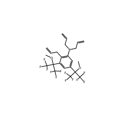 C=CCB(CC=C)c1cc(C(OC)(C(F)(F)F)C(F)(F)F)cc(C(OC)(C(F)(F)F)C(F)(F)F)c1CC=C